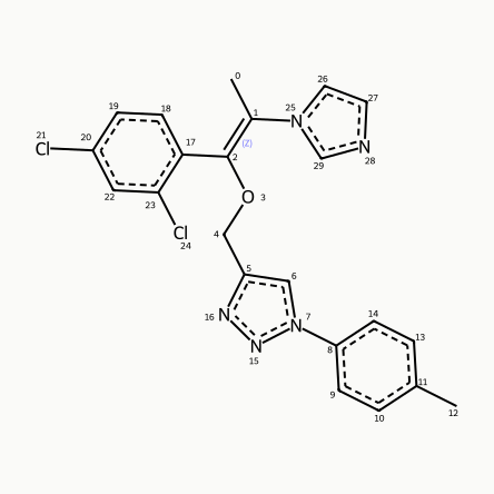 C/C(=C(/OCc1cn(-c2ccc(C)cc2)nn1)c1ccc(Cl)cc1Cl)n1ccnc1